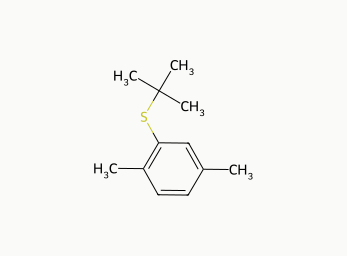 Cc1ccc(C)c(SC(C)(C)C)c1